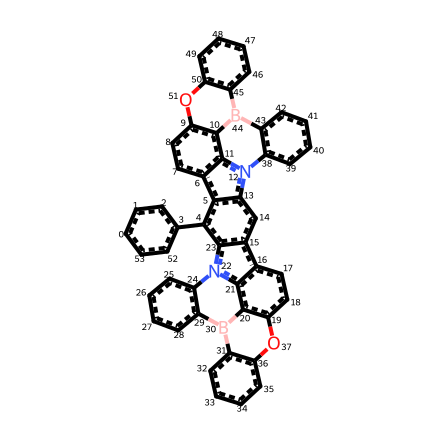 c1ccc(-c2c3c4ccc5c6c4n(c3cc3c4ccc7c8c4n(c23)-c2ccccc2B8c2ccccc2O7)-c2ccccc2B6c2ccccc2O5)cc1